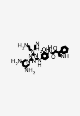 NCCN(CCN)c1nc(Nc2ccc(NC(=O)C(=O)c3c[nH]c4ccccc34)c(O)c2)nc(N2C[C@H](N)C[C@H](N)C2)n1